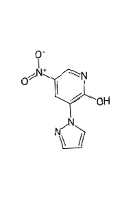 O=[N+]([O-])c1cnc(O)c(-n2cccn2)c1